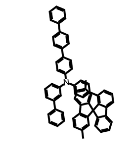 Cc1ccc2c(c1)C1(c3cc(C)ccc3-2)c2ccccc2-c2cccc(-c3ccc(N(c4ccc(-c5ccc(-c6ccccc6)cc5)cc4)c4cccc(-c5ccccc5)c4)cc3)c21